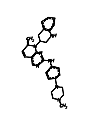 C=C1C=Cc2cnc(Nc3ccc(N4CCN(C)CC4)cc3)nc2N1C1CNc2ccccc2C1